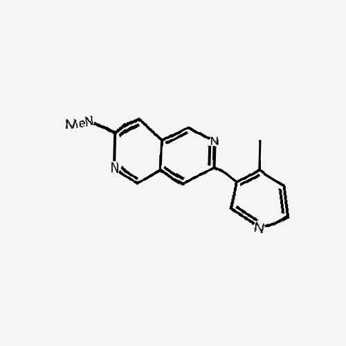 CNc1cc2cnc(-c3cnccc3C)cc2cn1